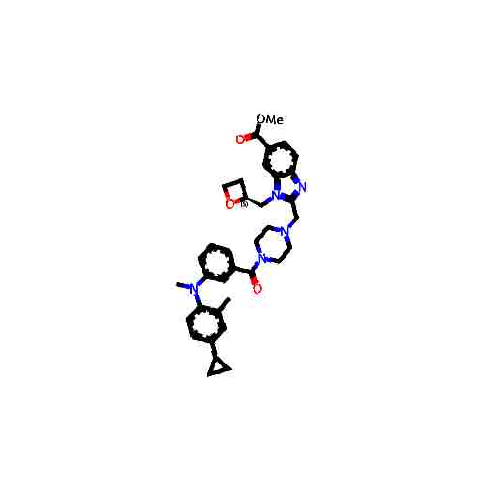 COC(=O)c1ccc2nc(CN3CCN(C(=O)c4cccc(N(C)c5ccc(C6CC6)cc5C)c4)CC3)n(C[C@@H]3CCO3)c2c1